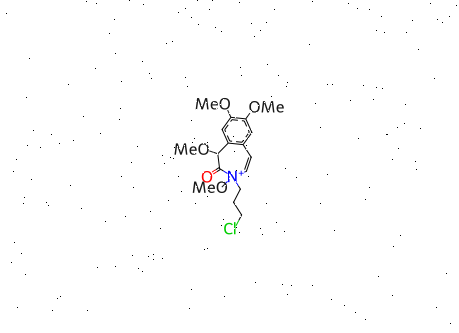 COc1cc2c(cc1OC)C(OC)C(=O)[N+](CCCCl)(OC)C=C2